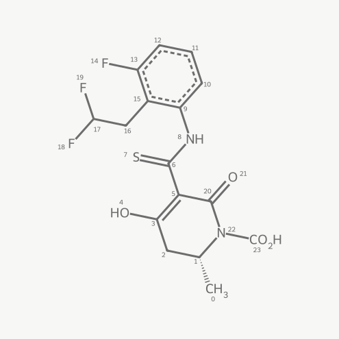 C[C@@H]1CC(O)=C(C(=S)Nc2cccc(F)c2CC(F)F)C(=O)N1C(=O)O